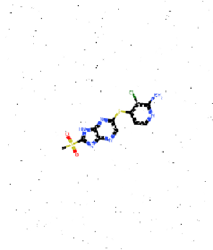 CS(=O)(=O)c1nc2ncc(Sc3ccnc(N)c3Cl)nc2[nH]1